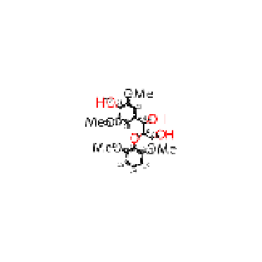 COc1cc(C(O)C(CO)Oc2c(OC)cccc2OC)cc(OC)c1O